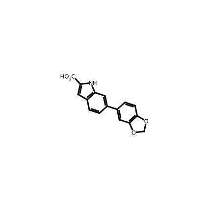 O=C(O)c1cc2ccc(-c3ccc4c(c3)OCO4)cc2[nH]1